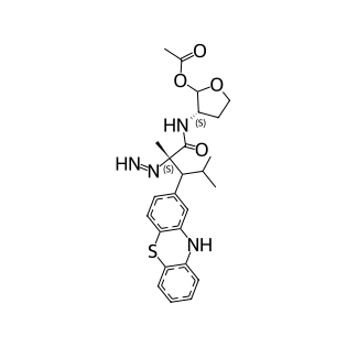 CC(=O)OC1OCC[C@@H]1NC(=O)[C@@](C)(N=N)C(c1ccc2c(c1)Nc1ccccc1S2)C(C)C